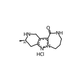 C[C@@H]1Cc2nn3c(c2CN1)C(=O)NCCC3.Cl